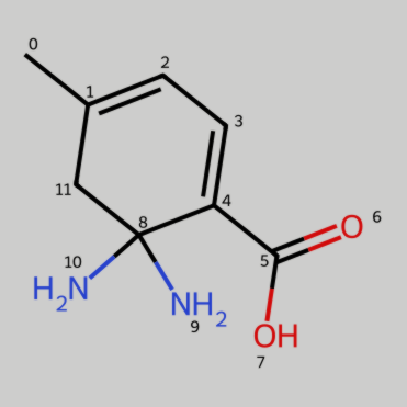 CC1=CC=C(C(=O)O)C(N)(N)C1